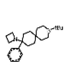 CC(C)(C)N1CCC2(CC1)CCC(c1ccccc1)(N1CCC1)CC2